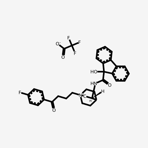 O=C(CCC[N+]12CCC(CC1)[C@@H](NC(=O)C1(O)c3ccccc3-c3ccccc31)C2)c1ccc(F)cc1.O=C([O-])C(F)(F)F